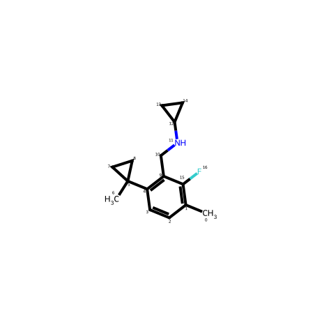 Cc1ccc(C2(C)CC2)c(CNC2CC2)c1F